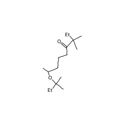 CCC(C)(C)OC(C)CCCC(=O)C(C)(C)CC